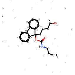 CCCNC(=O)OC1(CCCCBr)c2ccccc2-c2ccccc21